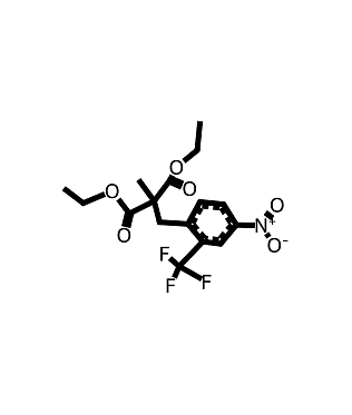 CCOC(=O)C(C)(Cc1ccc([N+](=O)[O-])cc1C(F)(F)F)C(=O)OCC